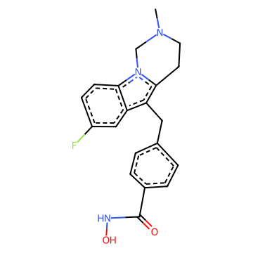 CN1CCc2c(Cc3ccc(C(=O)NO)cc3)c3cc(F)ccc3n2C1